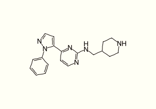 c1ccc(-n2nccc2-c2ccnc(NCC3CCNCC3)n2)cc1